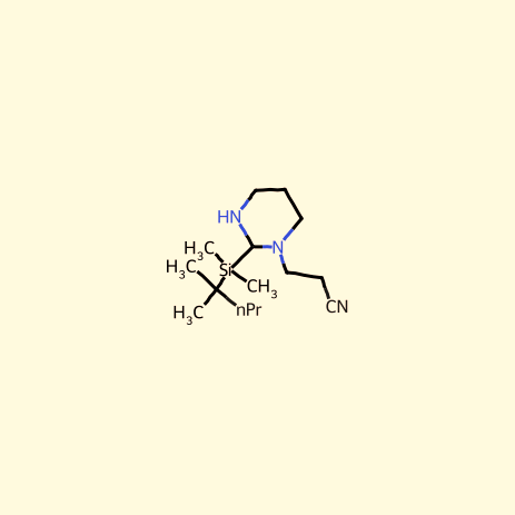 CCCC(C)(C)[Si](C)(C)C1NCCCN1CCC#N